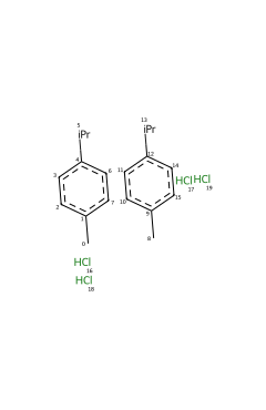 Cc1ccc(C(C)C)cc1.Cc1ccc(C(C)C)cc1.Cl.Cl.Cl.Cl